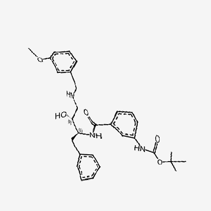 COc1cccc(CNC[C@@H](O)[C@H](Cc2ccccc2)NC(=O)c2cccc(NC(=O)OC(C)(C)C)c2)c1